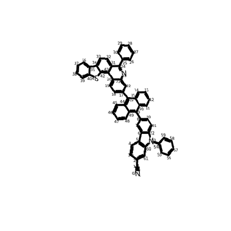 N#Cc1ccc2c3cc(-c4c5ccccc5c(-c5ccc6c(c5)nc(-c5ccccc5)c5ccc7c8ccccc8sc7c56)c5ccccc45)ccc3n(-c3ccccc3)c2c1